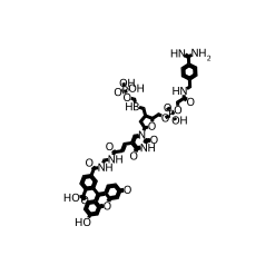 N=C(N)c1ccc(CNC(=O)COP(=O)(O)OCC2OC(n3cc(/C=C/C(=O)NCNC(=O)c4ccc(C(=O)O)c(-c5c6ccc(=O)cc-6oc6cc(O)ccc56)c4)c(=O)[nH]c3=O)CC2CBCOP(=O)(O)O)cc1